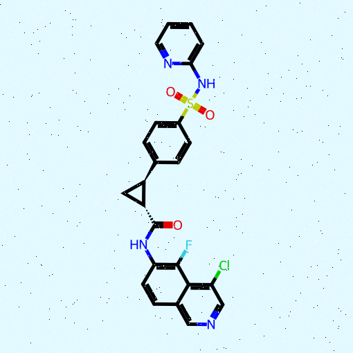 O=C(Nc1ccc2cncc(Cl)c2c1F)[C@@H]1C[C@H]1c1ccc(S(=O)(=O)Nc2ccccn2)cc1